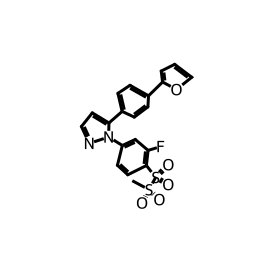 CS(=O)(=O)S(=O)(=O)c1ccc(-n2nccc2-c2ccc(-c3ccco3)cc2)cc1F